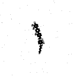 CCCCCCOc1ccc(OCc2ccc(C3CCC(c4ccc(C)c(F)c4F)CC3)c(F)c2)c(F)c1F